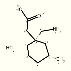 C[C@@H]1CCC[C@@](CN)(CC(=O)O)C1.Cl